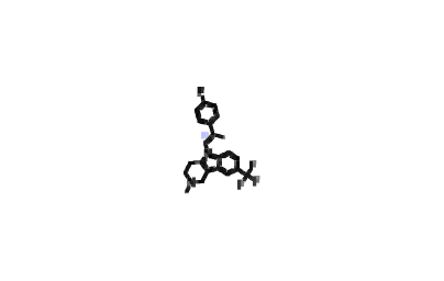 C/C(=C\n1c2c(c3cc(C(F)(F)F)ccc31)CN(C)CC2)c1ccc(F)cc1